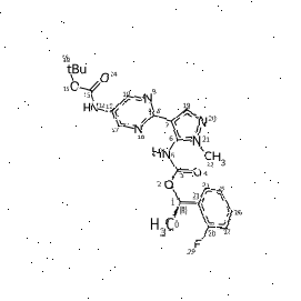 C[C@@H](OC(=O)Nc1c(-c2ncc(NC(=O)OC(C)(C)C)cn2)cnn1C)c1ccccc1F